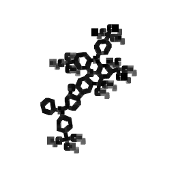 CC(C)(C)c1ccc(N(c2ccccc2)c2ccc3c(c2)oc2cc4c(cc23)C(C)(C)c2cc(C(C)(C)C)cc3c2B4c2cc(C(C)(C)C)ccc2N3c2ccc(C(C)(C)C)cc2)cc1